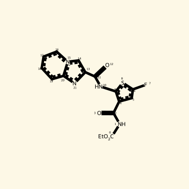 CCOC(=O)NC(=O)c1cc(F)sc1NC(=O)c1cn2ccccc2n1